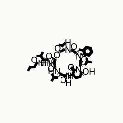 CCCC(=O)N[C@H](C(=O)N[C@@H]1C(=O)N[C@@H](CC(C)C)C(=O)N[C@H]2CC[C@@H](O)N(C2=O)[C@@H](CC(C)C)C(=O)N(C)[C@@H](Cc2ccccc2)C(=O)N[C@@H](C(C)C)C(=O)O[C@@H]1C)C(C)C